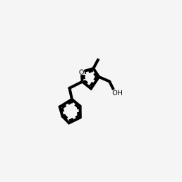 Cc1oc(Cc2ccccc2)cc1CO